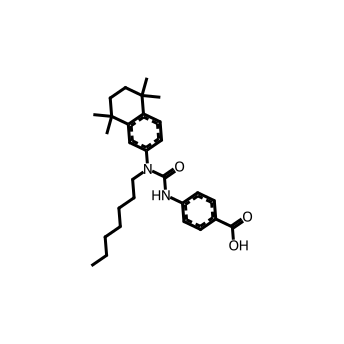 CCCCCCCN(C(=O)Nc1ccc(C(=O)O)cc1)c1ccc2c(c1)C(C)(C)CCC2(C)C